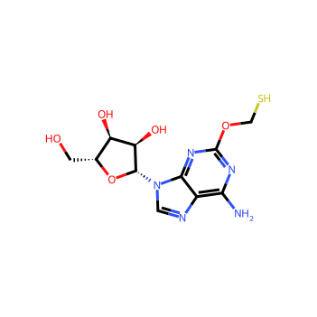 Nc1nc(OCS)nc2c1ncn2[C@@H]1O[C@H](CO)[C@@H](O)[C@H]1O